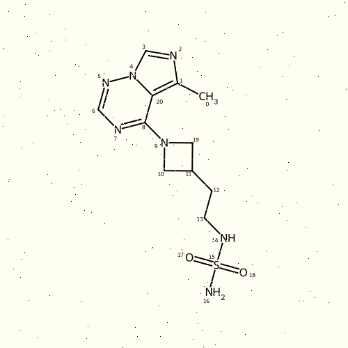 Cc1ncn2ncnc(N3CC(CCNS(N)(=O)=O)C3)c12